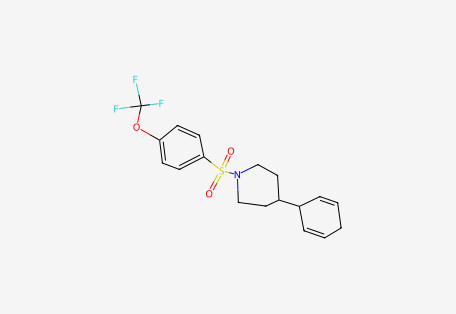 O=S(=O)(c1ccc(OC(F)(F)F)cc1)N1CCC(C2C=CCC=C2)CC1